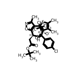 Cc1noc([C@H](CC(=O)OC(C)(C)C)N[S@@+]([O-])C(C)(C)C)c1-c1sc(C)c(C)c1C(=O)c1ccc(Cl)cc1